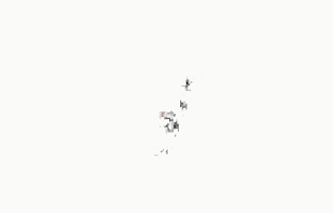 COc1cc(N=Nc2cccc3c(S(=O)(=O)O)cccc23)c(C)cc1N=Nc1c(S(=O)(=O)O)cc2cc(Nc3ccccc3)ccc2c1O.[Na].[Na]